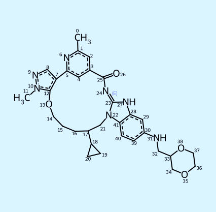 Cc1cc2cc(n1)-c1cnn(C)c1OCCCC(C1CC1)CN1/C(=N/C2=O)Nc2cc(NCC3COCCO3)ccc21